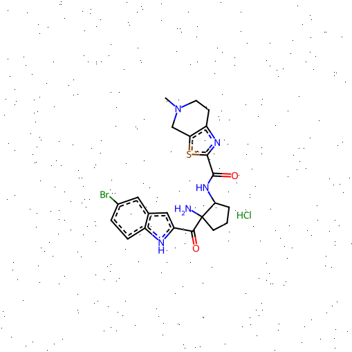 CN1CCc2nc(C(=O)NC3CCCC3(N)C(=O)c3cc4cc(Br)ccc4[nH]3)sc2C1.Cl